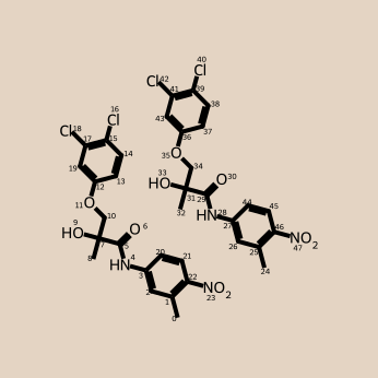 Cc1cc(NC(=O)C(C)(O)COc2ccc(Cl)c(Cl)c2)ccc1[N+](=O)[O-].Cc1cc(NC(=O)C(C)(O)COc2ccc(Cl)c(Cl)c2)ccc1[N+](=O)[O-]